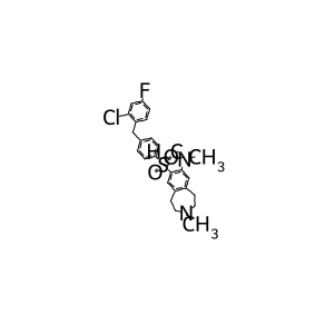 CN1CCc2cc(N(C)C)c(S(=O)(=O)c3ccc(Cc4ccc(F)cc4Cl)cc3)cc2CC1